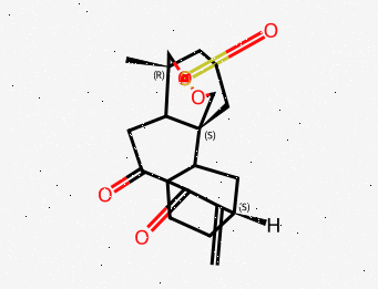 C=C1C(=O)C23CC[C@H]1CC2[C@@]12CCC[C@@](C)(COS(=O)OC1)C2CC3=O